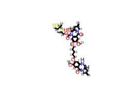 C=C1C[C@H]2CNc3cc(OCCCCCOc4cc5c(cc4OC)C(=O)N4CC(=C)C[C@H]4[C@H](O)N5C(=O)OC[C@@H](C)SC(C)(S)CC)c(OC)cc3C(=O)N2C1